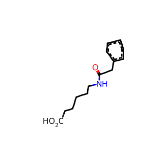 O=C(O)CCCCCNC(=O)Cc1ccccc1